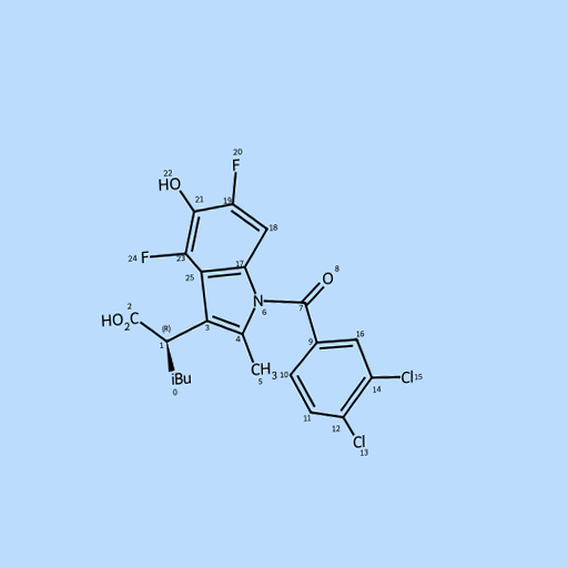 CCC(C)[C@@H](C(=O)O)c1c(C)n(C(=O)c2ccc(Cl)c(Cl)c2)c2cc(F)c(O)c(F)c12